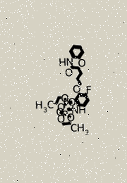 C[C@@H]1COP(=O)(C(Nc2ccc(F)c(OCCCC3Oc4ccccc4NC3=O)c2)P2(=O)OC[C@@H](C)O2)O1